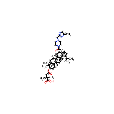 C=C(C)[C@@H]1CC[C@]2(CC(=O)N3CCN(CC4=NCC(C)=N4)CC3)CC[C@]3(C)[C@H](CC[C@@H]4[C@@]5(C)CC[C@H](OC(=O)CC(C)(C)C(=O)O)C(C)(C)[C@@H]5CC[C@]43C)[C@@H]12